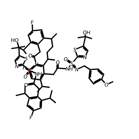 COc1ccc(CN=S(=O)(NC(=O)Cc2c(C(C)C)cc(F)cc2C(C)CCC(C)c2cc(F)cc(C(C)C)c2CC(=O)N=S(=O)(NC(=O)Cc2c(C(C)C)cc(F)cc2C(C)C)c2ncc(C(C)(C)O)s2)c2ncc(C(C)(C)O)s2)cc1